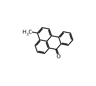 Cc1ccc2c3c(cccc13)C(=O)c1ccccc1-2